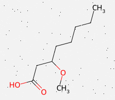 CCCCCC(CC(=O)O)OC